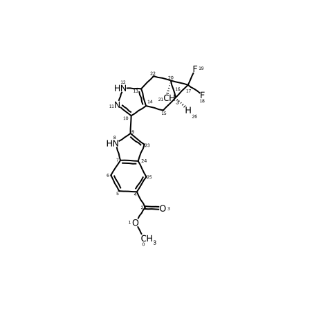 COC(=O)c1ccc2[nH]c(-c3n[nH]c4c3C[C@@H]3C(F)(F)[C@]3(C)C4)cc2c1